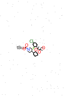 CC(C)(C)OC(=O)N1CCC(c2cccc3c2OC(C)(c2ccc(Cl)cc2F)C(=C=O)O3)CC1